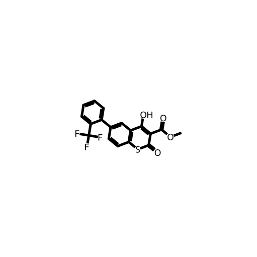 COC(=O)c1c(O)c2cc(-c3ccccc3C(F)(F)F)ccc2sc1=O